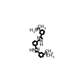 CN(C)c1cccc(-c2c[nH]c(-c3cccc(-c4nc(-c5cccc(N(C)C)c5)c[nH]4)c3)n2)c1